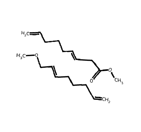 C=CCCCC=CCC(=O)OC.C=CCCCC=CCOC